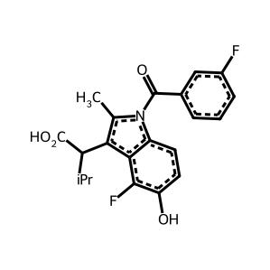 Cc1c(C(C(=O)O)C(C)C)c2c(F)c(O)ccc2n1C(=O)c1cccc(F)c1